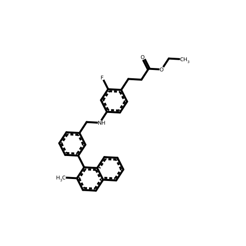 CCOC(=O)CCc1ccc(NCc2cccc(-c3c(C)ccc4ccccc34)c2)cc1F